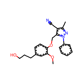 COc1cc(CCCO)ccc1OCc1c(C#N)c(C)nn1-c1ccccc1